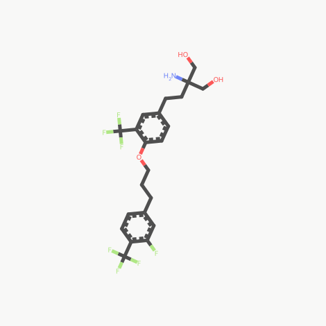 NC(CO)(CO)CCc1ccc(OCCCc2ccc(C(F)(F)F)c(F)c2)c(C(F)(F)F)c1